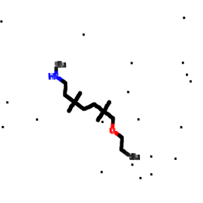 CC(C)(C)CCOCC(C)(C)CCC(C)(C)CCNC(C)(C)C